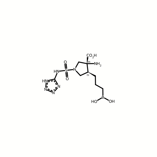 N[C@@]1(C(=O)O)CN(S(=O)(=O)Nc2nnn[nH]2)C[C@@H]1CCCB(O)O